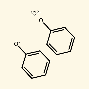 [O+2].[O-]c1ccccc1.[O-]c1ccccc1